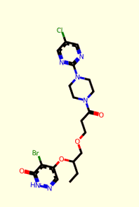 CCC(COCCC(=O)N1CCN(c2ncc(Cl)cn2)CC1)Oc1cn[nH]c(=O)c1Br